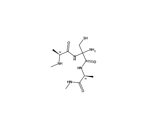 CNC(=O)[C@H](C)NC(=O)C(N)(CS)NC(=O)[C@H](C)NC